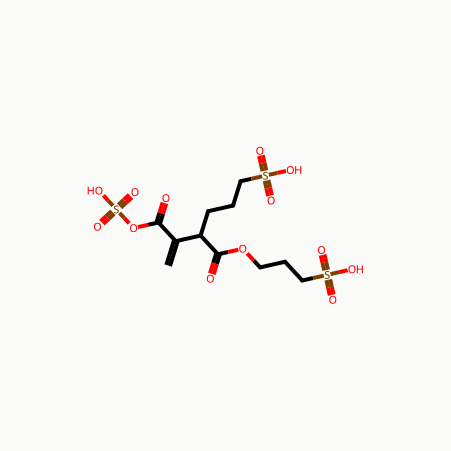 C=C(C(=O)OS(=O)(=O)O)C(CCCS(=O)(=O)O)C(=O)OCCCS(=O)(=O)O